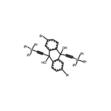 CC(C)[Si](C#CC1(O)c2ccc(Br)cc2C(O)(C#C[Si](C(C)C)(C(C)C)C(C)C)c2ccc(Br)cc21)(C(C)C)C(C)C